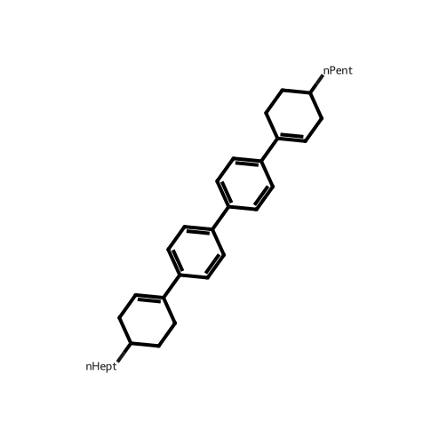 CCCCCCCC1CC=C(c2ccc(-c3ccc(C4=CCC(CCCCC)CC4)cc3)cc2)CC1